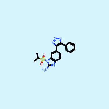 CC(C)S(=O)(=O)n1c(N)nc2ccc(-c3nn[nH]c3-c3ccccc3)cc21